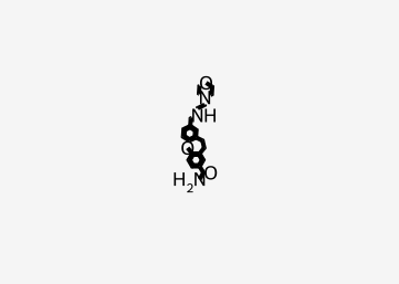 NC(=O)c1ccc2c(c1)CCc1cc(CNCCN3CCOCC3)ccc1O2